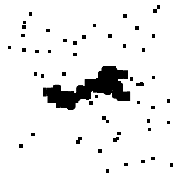 O=C(O)CC[C@H](NC(=O)N[C@@H](CCCCNC(=O)CCCCCNC(=O)CCc1ccc(O)c(CN(CCN(CC(=O)O)Cc2cc(CC(=O)O)ccc2O)CC(=O)O)c1)C(=O)O)C(=O)O